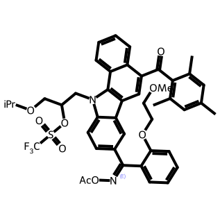 COCCOc1ccccc1/C(=N/OC(C)=O)c1ccc2c(c1)c1cc(C(=O)c3c(C)cc(C)cc3C)c3ccccc3c1n2CC(COC(C)C)OS(=O)(=O)C(F)(F)F